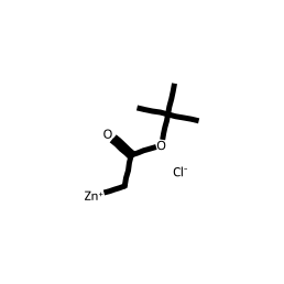 CC(C)(C)OC(=O)[CH2][Zn+].[Cl-]